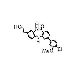 COc1cc(-c2ccc3c(c2)Nc2ccc(CCO)cc2NC3=O)ccc1Cl